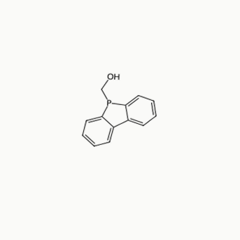 OCp1c2ccccc2c2ccccc21